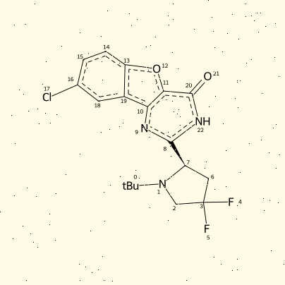 CC(C)(C)N1CC(F)(F)C[C@@H]1c1nc2c(oc3ccc(Cl)cc32)c(=O)[nH]1